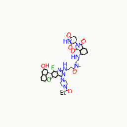 CCC(=O)N1CCN(c2nc(NCCC(=O)N(C)CCNc3cccc4c3C(=O)N(C3CCC(=O)NC3=O)C4=O)nc3c(F)c(-c4cc(O)cc5ccccc45)c(Cl)cc23)CC1